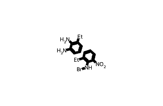 CCc1cccc(N)c1N.CCc1cccc([N+](=O)[O-])c1NBr